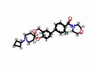 O=C(c1ccc(-c2ccc3c(c2)COC2(CCN(C4CCC4)CC2)O3)cc1F)N1CCOCC1